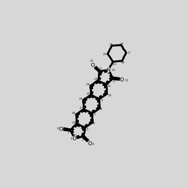 O=c1oc(=O)c2cc3cc4cc5c(=O)n(C6CCCCC6)c(=O)c5cc4cc3cc12